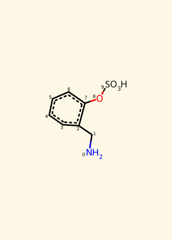 NCc1ccccc1OS(=O)(=O)O